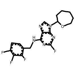 Fc1nc(NCc2ccc(F)c(F)c2F)c2ncn(C3CCCCCO3)c2n1